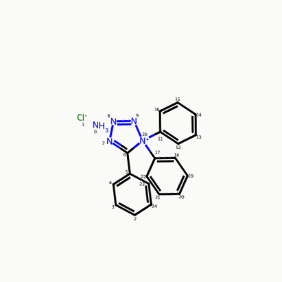 N.[Cl-].c1ccc(C2=NN=N[N+]2(c2ccccc2)c2ccccc2)cc1